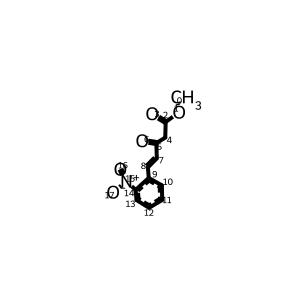 COC(=O)CC(=O)C=Cc1ccccc1[N+](=O)[O-]